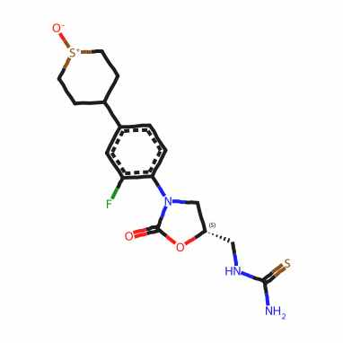 NC(=S)NC[C@H]1CN(c2ccc(C3CC[S+]([O-])CC3)cc2F)C(=O)O1